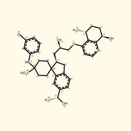 C[C@@H](COc1ccnc2c1[C@H](C)CC[C@H]2O)C[C@H]1Cc2ccc([C@@H](C)O)cc2C12CCC(Nc1cccc(Cl)c1)(C(=O)O)CC2